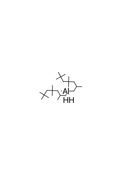 CC([CH2][Al][CH2]C(C)CC(C)(C)CC(C)(C)C)CC(C)(C)CC(C)(C)C.[HH]